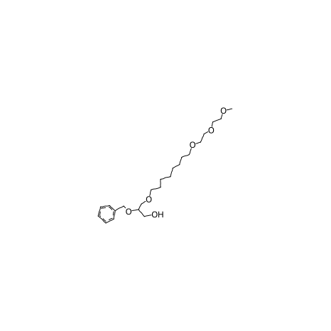 COCCOCCOCCCCCCCCOCC(CO)OCc1ccccc1